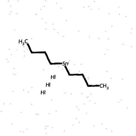 CCC[CH2][Sn][CH2]CCC.I.I.I